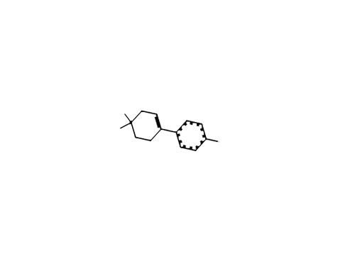 FC1(F)CC=C(c2ccc(Cl)cc2)CC1